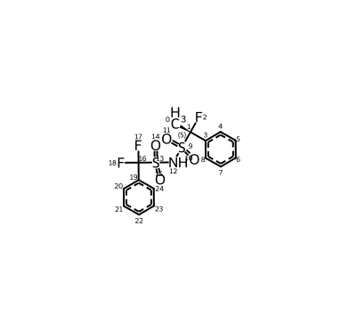 C[C@@](F)(c1ccccc1)S(=O)(=O)NS(=O)(=O)C(F)(F)c1ccccc1